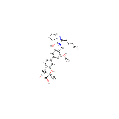 CCCCC1=NC2(CCCC2)C(=O)N1Cc1ccc(-c2cccc(OC(C)(C)C(=O)O)c2)cc1OC